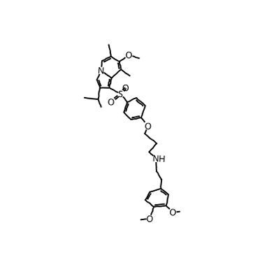 COc1ccc(CCNCCCOc2ccc(S(=O)(=O)c3c(C(C)C)cn4cc(C)c(OC)c(C)c34)cc2)cc1OC